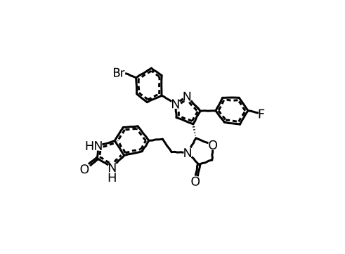 O=C1CO[C@@H](c2cn(-c3ccc(Br)cc3)nc2-c2ccc(F)cc2)N1CCc1ccc2[nH]c(=O)[nH]c2c1